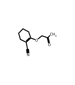 CC(=O)COC1=C(C#N)CCCC1